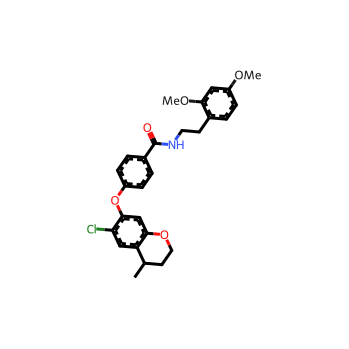 COc1ccc(CCNC(=O)c2ccc(Oc3cc4c(cc3Cl)C(C)CCO4)cc2)c(OC)c1